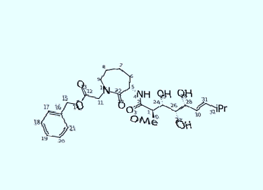 CO[C@@H](C(=O)N[C@H]1CCCCN(CC(=O)OCc2ccccc2)C1=O)[C@H](O)[C@@H](O)[C@H](O)C=CC(C)C